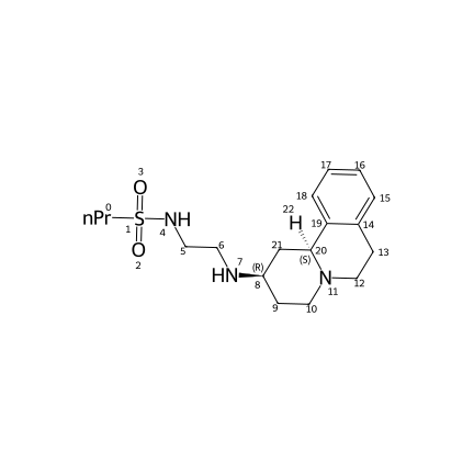 CCCS(=O)(=O)NCCN[C@@H]1CCN2CCc3ccccc3[C@@H]2C1